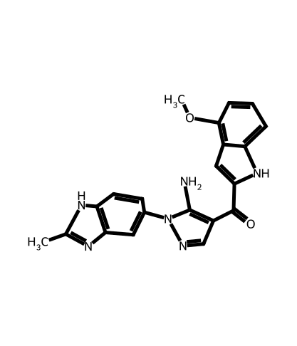 COc1cccc2[nH]c(C(=O)c3cnn(-c4ccc5[nH]c(C)nc5c4)c3N)cc12